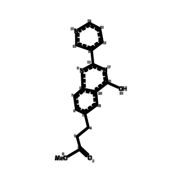 COC(=O)CCc1ccc2nc(-c3cccnc3)nc(O)c2c1